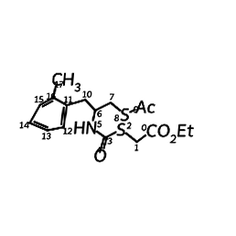 CCOC(=O)CSC(=O)NC(CSC(C)=O)Cc1ccccc1C